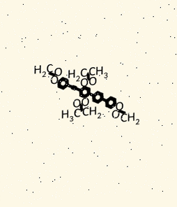 C=CC(=O)Oc1ccc(C#Cc2cc(OC(=O)C(=C)C)c(-c3ccc(-c4ccc(OC(=O)C=C)cc4)cc3)cc2OC(=O)C(=C)C)cc1